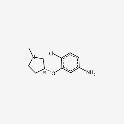 CN1CC[C@@H](Oc2cc(N)ccc2Cl)C1